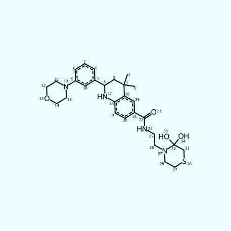 CC1(C)CC(c2cccc(N3CCOCC3)c2)Nc2ccc(C(=O)NCCN3CCSCC3(O)O)cc21